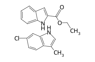 CCOC(=O)c1cc2ccccc2[nH]1.Cc1c[nH]c2cc(Cl)ccc12